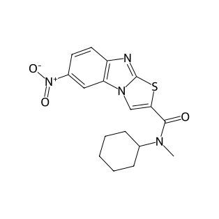 CN(C(=O)c1cn2c(nc3ccc([N+](=O)[O-])cc32)s1)C1CCCCC1